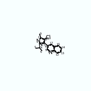 Cc1nn(C(C)C)c(-c2cnc3ccccc3c2)c1Cl